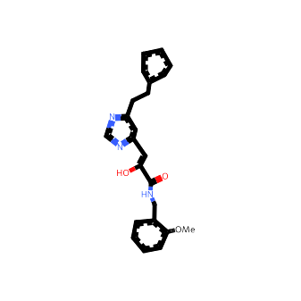 COc1ccccc1CNC(=O)/C(O)=C/c1cc(CCc2ccccc2)ncn1